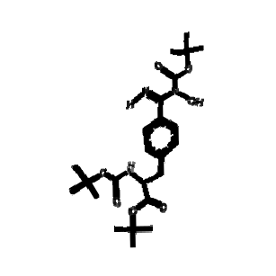 [H]/N=C(\c1ccc(C[C@H](NC(=O)OC(C)(C)C)C(=O)OC(C)(C)C)cc1)N(O)C(=O)OC(C)(C)C